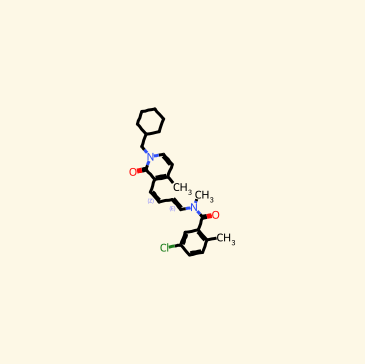 Cc1ccc(Cl)cc1C(=O)N(C)/C=C/C=C\c1c(C)ccn(CC2CCCCC2)c1=O